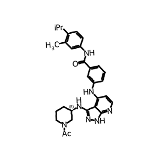 CC(=O)N1CCC[C@@H](Nc2n[nH]c3nccc(Nc4cccc(C(=O)Nc5ccc(C(C)C)c(C)c5)c4)c23)C1